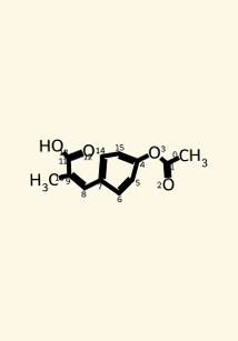 CC(=O)Oc1ccc(C=C(C)C(=O)O)cc1